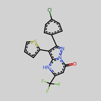 O=c1cc(C(F)(F)F)[nH]c2c(-c3cccs3)c(-c3ccc(Cl)cc3)nn12